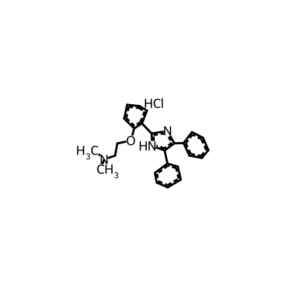 CN(C)CCOc1ccccc1-c1nc(-c2ccccc2)c(-c2ccccc2)[nH]1.Cl